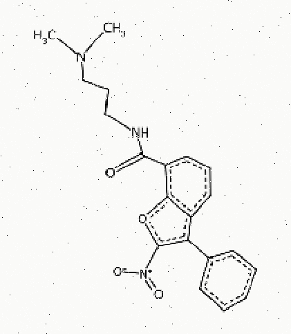 CN(C)CCCNC(=O)c1cccc2c(-c3ccccc3)c([N+](=O)[O-])oc12